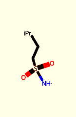 CC(C)CCS([NH])(=O)=O